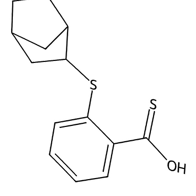 OC(=S)c1ccccc1SC1CC2CCC1C2